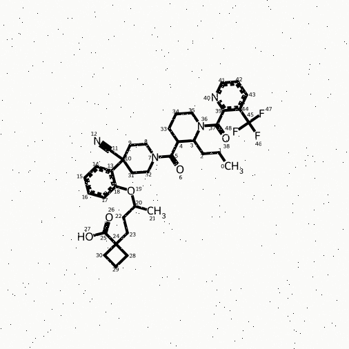 CCCC1C(C(=O)N2CCC(C#N)(c3ccccc3OC(C)CCC3(C(=O)O)CCC3)CC2)CCCN1C(=O)c1ncccc1C(F)(F)F